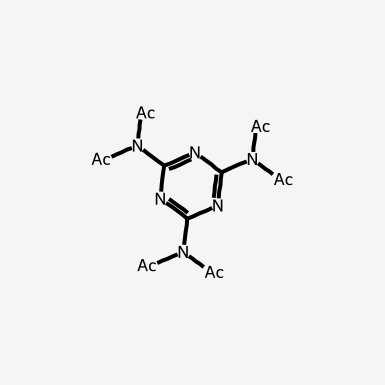 CC(=O)N(C(C)=O)c1nc(N(C(C)=O)C(C)=O)nc(N(C(C)=O)C(C)=O)n1